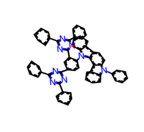 c1ccc(-c2nc(-c3ccccc3)nc(-c3ccc(-n4c5ccccc5c5ccc6c(c7ccccc7n6-c6ccccc6)c54)c(-c4nc(-c5ccccc5)nc(-c5ccccc5)n4)c3)n2)cc1